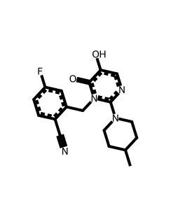 CC1CCN(c2ncc(O)c(=O)n2Cc2cc(F)ccc2C#N)CC1